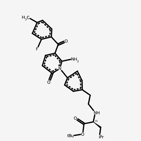 Cc1ccc(C(=O)c2ccc(=O)n(-c3ccc(CCN[C@@H](CC(C)C)C(=O)OC(C)(C)C)cc3)c2N)c(F)c1